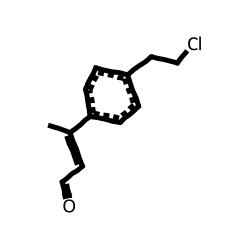 CC(=CC=O)c1ccc(CCCl)cc1